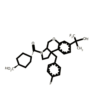 CC(O)(c1ccc2c(c1)OCC1N(C(=O)[C@H]3CC[C@H](C(=O)O)CC3)CCC21Cc1ccc(F)cc1)C(F)(F)F